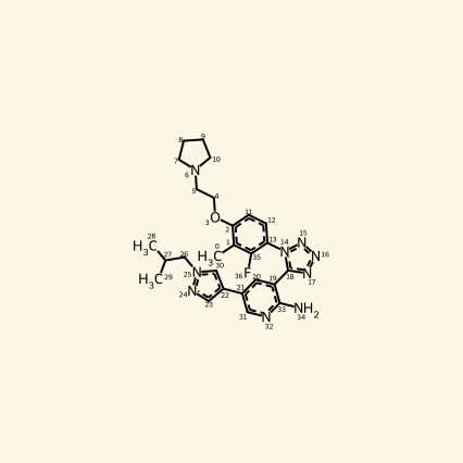 Cc1c(OCCN2CCCC2)ccc(-n2nnnc2-c2cc(-c3cnn(CC(C)C)c3)cnc2N)c1F